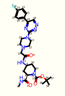 CNC(=O)[C@H]1C[C@@H](NC(=O)CN2CCN(c3nncc(-c4ccc(F)cc4)n3)CC2)CCN1C(=O)OC(C)(C)C